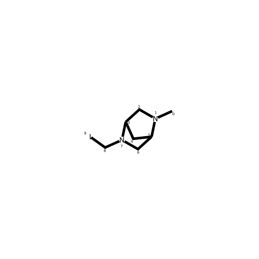 CN1CC2CC1CN2CI